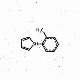 [CH2]c1ccccc1[SH]1C=CC=C1